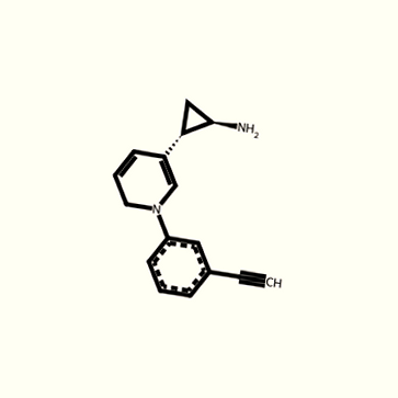 C#Cc1cccc(N2C=C([C@@H]3C[C@H]3N)C=CC2)c1